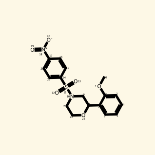 COc1ccccc1C1CN(S(=O)(=O)c2ccc([N+](=O)[O-])cc2)CCO1